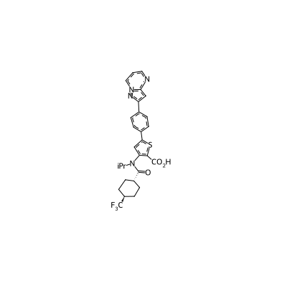 CC(C)N(c1cc(-c2ccc(-c3cc4ncccn4n3)cc2)sc1C(=O)O)C(=O)[C@H]1CC[C@H](C(F)(F)F)CC1